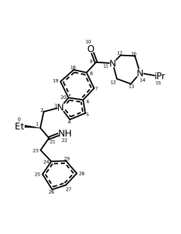 CC[C@@H](Cn1ccc2cc(C(=O)N3CCN(C(C)C)CC3)ccc21)C(=N)Cc1ccccc1